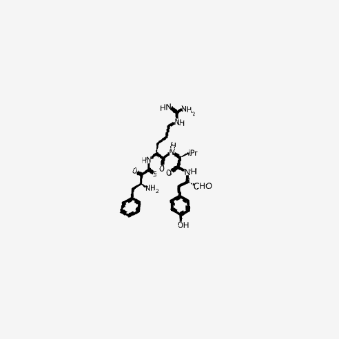 CC(C)[C@H](NC(=O)[C@H](CCCNC(=N)N)NC(=S)C(=O)[C@@H](N)Cc1ccccc1)C(=O)N[C@H](C=O)Cc1ccc(O)cc1